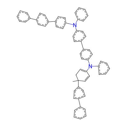 CC1(c2ccc(-c3ccccc3)cc2)C=CC(N(c2ccccc2)c2ccc(-c3ccc(N(c4ccccc4)c4ccc(-c5ccc(-c6ccccc6)cc5)cc4)cc3)cc2)=CC1